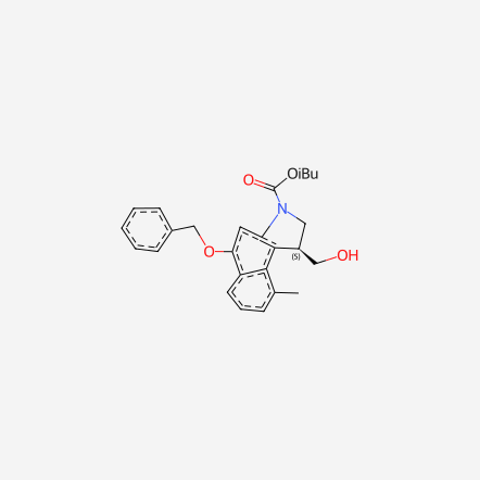 Cc1cccc2c(OCc3ccccc3)cc3c(c12)[C@H](CO)CN3C(=O)OCC(C)C